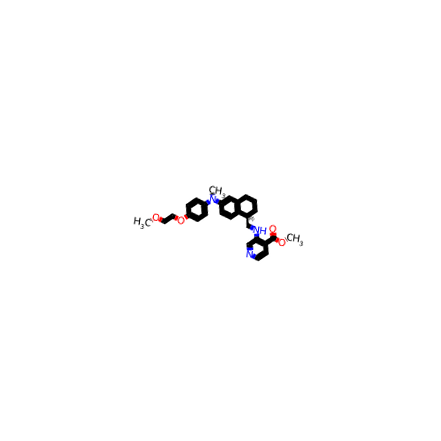 COCCOc1ccc(N(C)c2ccc3c(c2)CCC[C@H]3CNc2cnccc2C(=O)OC)cc1